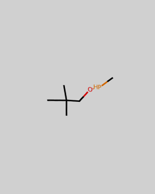 CPOCC(C)(C)C